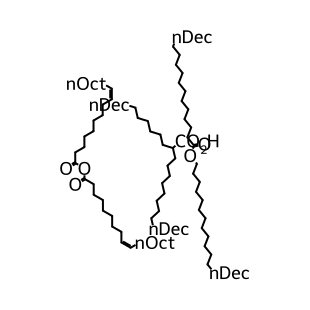 CCCCCCCC/C=C\CCCCCCCC(=O)OC(=O)CCCCCCC/C=C\CCCCCCCC.CCCCCCCCCCCCCCCCCCC(CCCCCCCCCCCCCCCC)C(=O)O.CCCCCCCCCCCCCCCCCCCCCCOC(=O)CCCCCCCCCCCCCCCCCCCCC